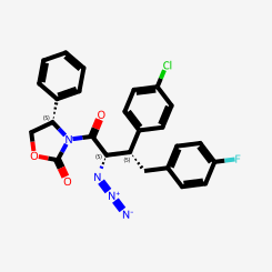 [N-]=[N+]=N[C@H](C(=O)N1C(=O)OC[C@@H]1c1ccccc1)[C@@H](Cc1ccc(F)cc1)c1ccc(Cl)cc1